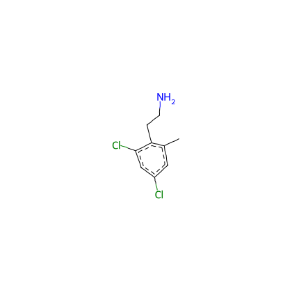 Cc1cc(Cl)cc(Cl)c1CCN